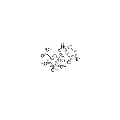 O=C(O)[C@H]1OC(O)(c2c[nH]c3ccc(Br)c(Cl)c23)[C@H](O)[C@@H](O)[C@@H]1O